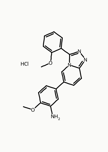 COc1ccc(-c2ccc3nnc(-c4ccccc4OC)n3c2)cc1N.Cl